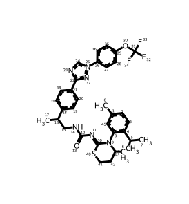 Cc1ccc(C(C)C)c(N2/C(=N/C(=O)NCC(C)c3ccc(-c4ncn(-c5ccc(OC(F)(F)F)cc5)n4)cc3)SCCC2C)c1